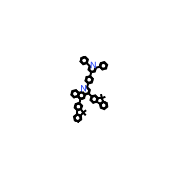 CC1(C)c2ccccc2-c2ccc(-c3cc4c(-c5ccc6c(c5)C(C)(C)c5ccccc5-6)cc(-c5ccc(-c6cc(-c7ccccc7)nc(-c7ccccc7)c6)cc5)nc4c4ccccc34)cc21